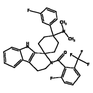 CN(C)C1(c2cccc(F)c2)CCC2(CC1)c1[nH]c3ccccc3c1CCN2C(=O)c1c(F)cccc1C(F)(F)F